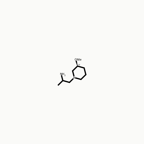 CO[C@H]1CCCN(CC(C)N)C1